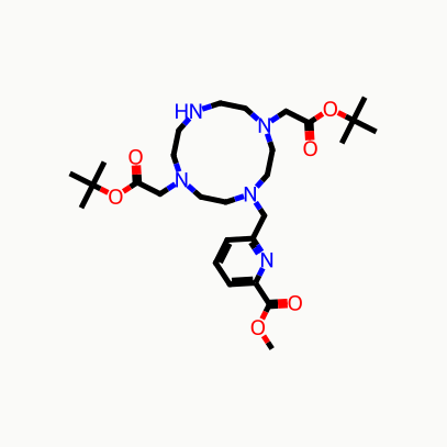 COC(=O)c1cccc(CN2CCN(CC(=O)OC(C)(C)C)CCNCCN(CC(=O)OC(C)(C)C)CC2)n1